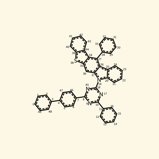 c1ccc(-c2ccc(-c3nc(-c4ccccc4)nc(-n4c5ccccc5c5c(-c6ccccc6)c6c(cc54)sc4ccccc46)n3)cc2)cc1